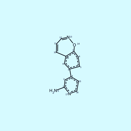 Nc1cc(-c2ccc3c(c2)C=CC=NO3)ccn1